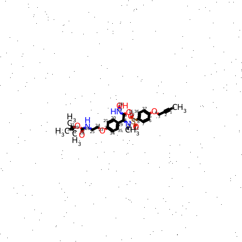 CC#CCOc1ccc(S(=O)(=O)N(C)C(C(=O)NO)c2ccc(OCCNC(=O)OC(C)(C)C)cc2)cc1